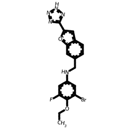 CCOc1c(F)cc(NCc2ccc3cc(-c4nn[nH]n4)oc3c2)cc1Br